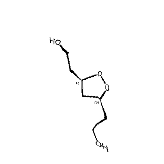 OCC[C@@H]1C[C@H](CCO)OO1